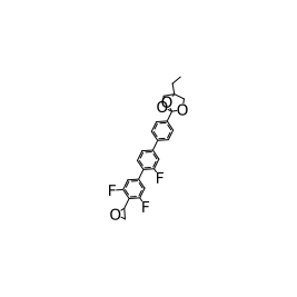 CCC12COC(c3ccc(-c4ccc(-c5cc(F)c(C6CO6)c(F)c5)c(F)c4)cc3)(OC1)O2